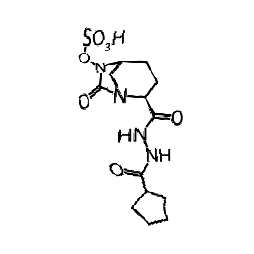 O=C(NNC(=O)[C@@H]1CCC2CN1C(=O)N2OS(=O)(=O)O)C1CCCC1